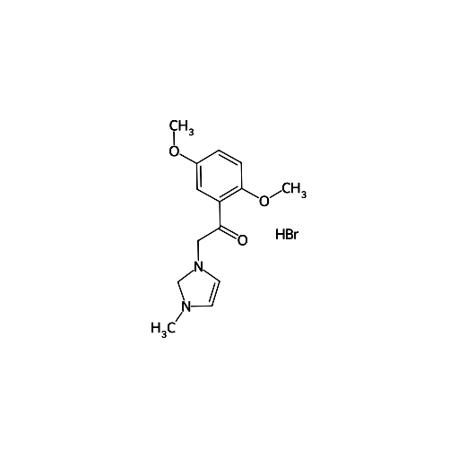 Br.COc1ccc(OC)c(C(=O)CN2C=CN(C)C2)c1